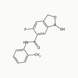 Cc1ccccc1NC(=O)c1cc2c(cc1F)COB2O